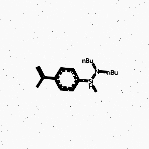 C=C(C)c1ccc([SiH](C)N(CCCC)CCCC)cc1